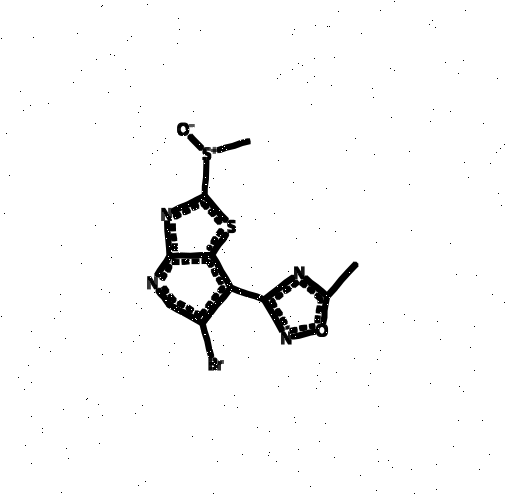 Cc1nc(-c2c(Br)cnc3nc([S+](C)[O-])sc23)no1